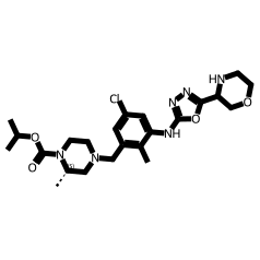 Cc1c(CN2CCN(C(=O)OC(C)C)[C@@H](C)C2)cc(Cl)cc1Nc1nnc(C2COCCN2)o1